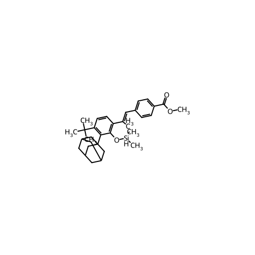 COC(=O)c1ccc(C=C(C)c2ccc(C(C)(C)C)c(C34CC5CC(CC(C5)C3)C4)c2O[SiH](C)C)cc1